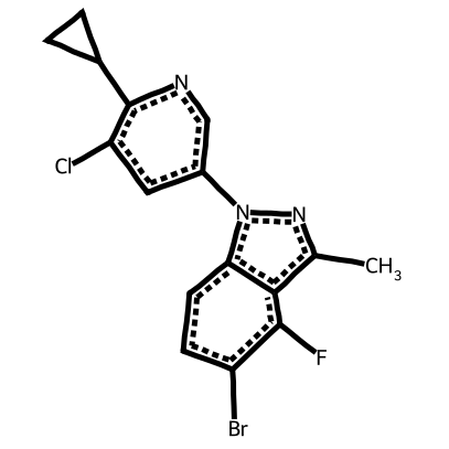 Cc1nn(-c2cnc(C3CC3)c(Cl)c2)c2ccc(Br)c(F)c12